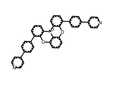 O=P12c3cccc(-c4ccc(-c5ccncc5)cc4)c3Oc3cccc(c31)Oc1c(-c3ccc(-c4ccncc4)cc3)cccc12